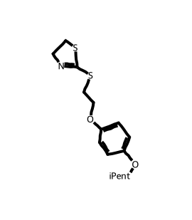 CCCC(C)Oc1ccc(OCCSC2=NCCS2)cc1